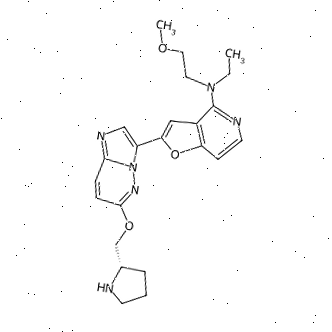 CCN(CCOC)c1nccc2oc(-c3cnc4ccc(OC[C@@H]5CCCN5)nn34)cc12